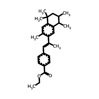 CCOC(=O)c1ccc(C=C(C)c2cc3c(cc2C)C(C)(C)CC(C)C3C)cc1